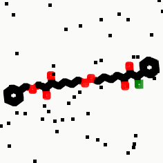 O=C(CCCCOOCCCCC(=O)C(=O)C(Cl)c1ccccc1)C(=O)COCc1ccccc1